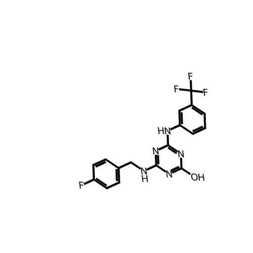 Oc1nc(NCc2ccc(F)cc2)nc(Nc2cccc(C(F)(F)F)c2)n1